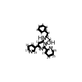 OC[C@H](Cc1ccccc1)Nc1cc(-c2cccnc2)nc(-c2ccccn2)n1